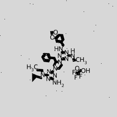 CCCN(CC1CC1)c1nc(N)nc(N2CCN(c3nc(NCC)nc(NCc4ccc5c(c4)OCO5)n3)C(Cc3ccccc3)C2)n1.O=C(O)C(F)(F)F